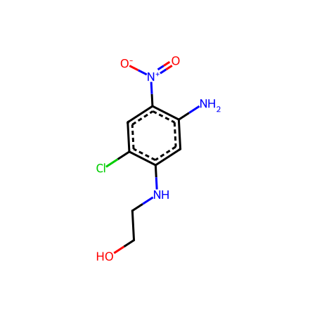 Nc1cc(NCCO)c(Cl)cc1[N+](=O)[O-]